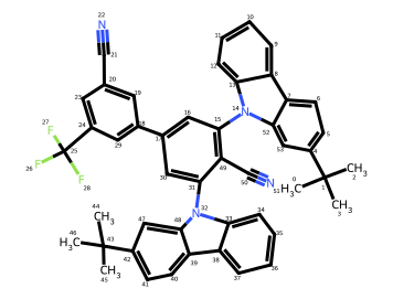 CC(C)(C)c1ccc2c3ccccc3n(-c3cc(-c4cc(C#N)cc(C(F)(F)F)c4)cc(-n4c5ccccc5c5ccc(C(C)(C)C)cc54)c3C#N)c2c1